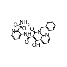 NS(=O)(=O)c1ncccc1NC(=O)c1c(O)c2cccnc2n(Cc2ccccc2)c1=O